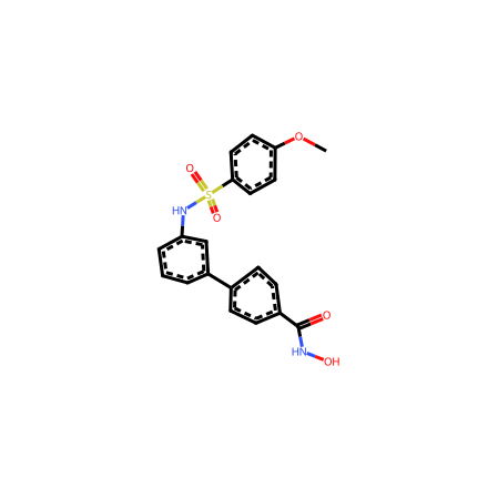 COc1ccc(S(=O)(=O)Nc2cccc(-c3ccc(C(=O)NO)cc3)c2)cc1